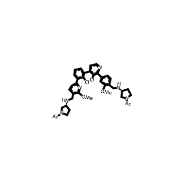 COc1cc(-c2nccc(-c3cccc(-c4ccc(CN[C@H]5CCN(C(C)=O)C5)c(OC)n4)c3Cl)c2Cl)ccc1CN[C@H]1CCN(C(C)=O)C1